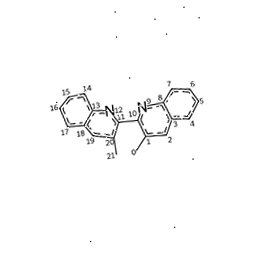 Cc1cc2ccccc2nc1-c1nc2ccccc2cc1C